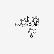 O=C1CCC(CNc2ncccc2C(=O)Nc2ccc(C(F)(F)F)cc2)CC1